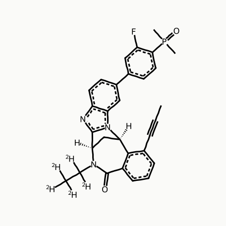 [2H]C([2H])([2H])C([2H])([2H])N1C(=O)c2cccc(C#CC)c2[C@H]2C[C@@H]1c1nc3ccc(-c4ccc(P(C)(C)=O)c(F)c4)cc3n12